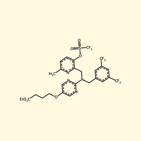 CCOC(=O)CCCOc1cnc(N(Cc2cc(C(F)(F)F)cc(C(F)(F)F)c2)Cc2nc(C)ccc2OS(=O)(=O)C(F)(F)F)nc1